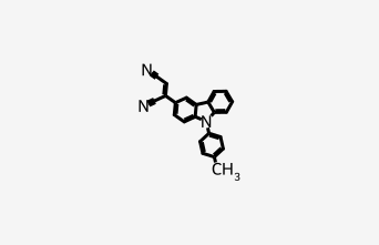 Cc1ccc(-n2c3ccccc3c3cc(C(C#N)=CC#N)ccc32)cc1